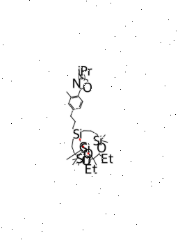 CCC1O[Si](C)(C)CCC[Si]2(CCCc3ccc(C4=N[C@@H](C(C)C)CO4)c(C)c3)CCC[Si](C)(C)OC(CC)C1(C)O[Si](C)(C)CCC2